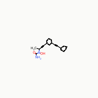 CC(C#Cc1cccc(C#Cc2ccccc2)c1)N(O)C(N)=O